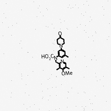 COc1c(C)cnc(CN(C(=O)O)c2cc(C)cc(N3CCC(=O)CC3)c2)c1C